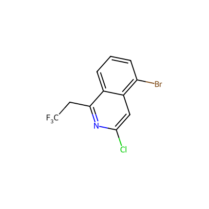 FC(F)(F)Cc1nc(Cl)cc2c(Br)cccc12